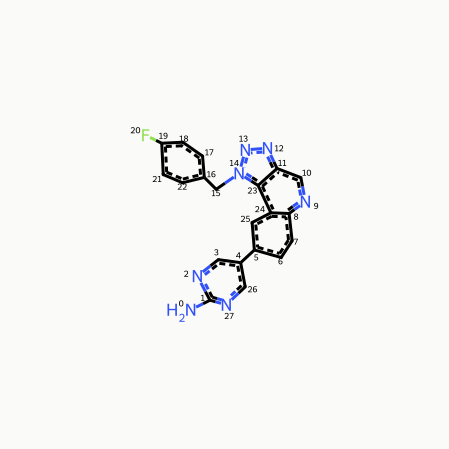 Nc1ncc(-c2ccc3ncc4nnn(Cc5ccc(F)cc5)c4c3c2)cn1